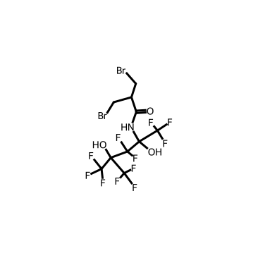 O=C(NC(O)(C(F)(F)F)C(F)(F)C(O)(C(F)(F)F)C(F)(F)F)C(CBr)CBr